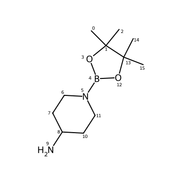 CC1(C)OB(N2CCC(N)CC2)OC1(C)C